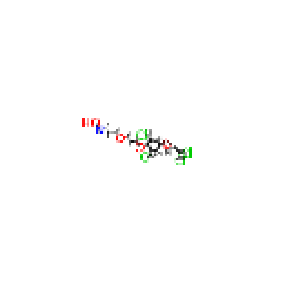 ON=CCCOCCCOc1c(Cl)cc(OCC=C(Cl)Cl)cc1Cl